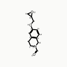 O=CN1CCc2cc(OCC3CO3)ccc2C1